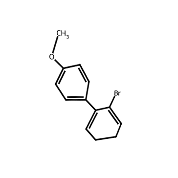 COc1ccc(C2=CCCC=C2Br)cc1